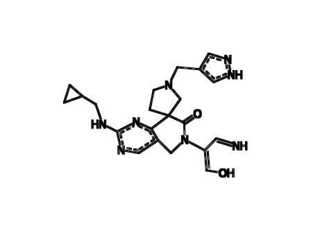 N=C/C(=C\O)N1Cc2cnc(NCC3CC3)nc2C2(CCN(Cc3cn[nH]c3)C2)C1=O